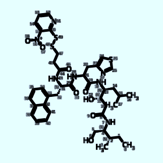 CC[C@H](C)[C@@H](CO)NC(=O)C[C@H](O)[C@H](CC(C)C)NC(=O)C(Cc1cscn1)NC(=O)[C@H](Cc1cccc2ccccc12)NC(=O)CCSSc1ncccc1[N+](=O)[O-]